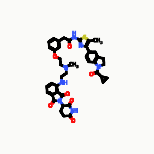 Cc1sc(NC(=O)Cc2cccc(OCCN(C)CCNc3cccc4c3C(=O)N(C3CCC(=O)NC3=O)C4=O)c2)nc1-c1ccc2c(c1)CCN2C(=O)C1CC1